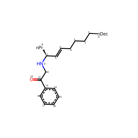 CCCCCCCCCCCCCC/C=C/[C@H](CCC)NCC(=O)c1ccccc1